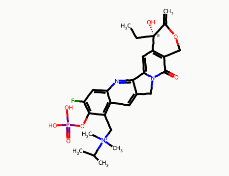 C=C1OCc2c(cc3n(c2=O)Cc2cc4c(C[N+](C)(C)C(C)C)c(OP(=O)(O)O)c(F)cc4nc2-3)[C@@]1(O)CC